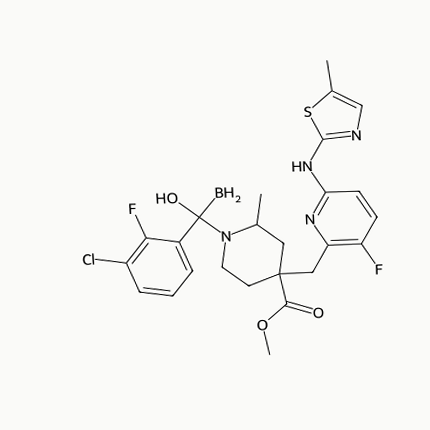 BC(O)(c1cccc(Cl)c1F)N1CCC(Cc2nc(Nc3ncc(C)s3)ccc2F)(C(=O)OC)CC1C